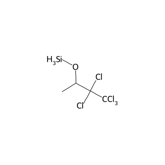 CC(O[SiH3])C(Cl)(Cl)C(Cl)(Cl)Cl